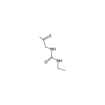 CCNC(=O)NCC(C)=S